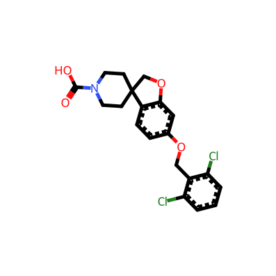 O=C(O)N1CCC2(CC1)COc1cc(OCc3c(Cl)cccc3Cl)ccc12